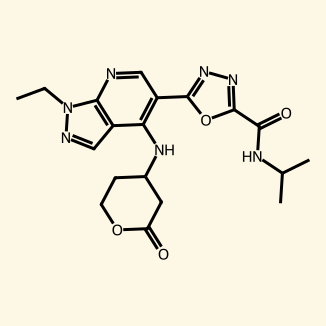 CCn1ncc2c(NC3CCOC(=O)C3)c(-c3nnc(C(=O)NC(C)C)o3)cnc21